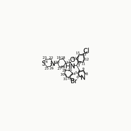 O=C(NC(c1ccncc1)c1ccc(Cl)cc1)[C@@H]1CC[C@H](N2CCSCC2)C[C@H]1C1C=CC(Br)=CC1